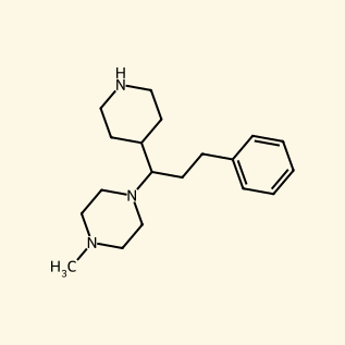 CN1CCN(C(CCc2ccccc2)C2CCNCC2)CC1